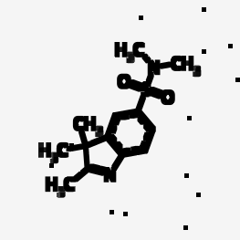 CC1=Nc2ccc(S(=O)(=O)N(C)C)cc2C1(C)C